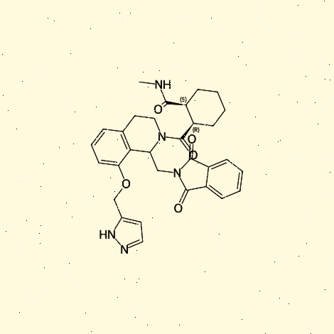 CNC(=O)[C@H]1CCCC[C@H]1C(=O)N1CCc2cccc(OCc3ccn[nH]3)c2C1CN1C(=O)c2ccccc2C1=O